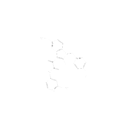 COc1ccc2c(c1)c(C(=O)C(=O)Nc1ccnc(OC)c1)c(C)n2Cc1ccc(OC(F)(F)F)cc1